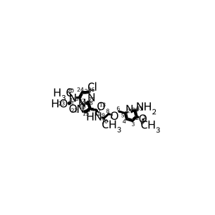 COc1ccc(COC[C@@H](C)NC(=O)c2cnn3c(N(C)C(=O)O)cc(Cl)nc23)nc1N